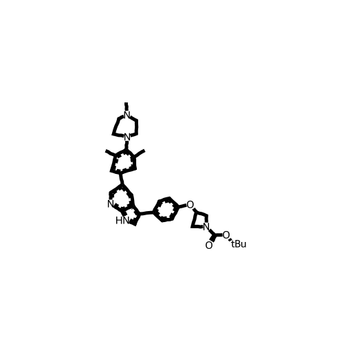 Cc1cc(-c2cnc3[nH]cc(-c4ccc(OC5CN(C(=O)OC(C)(C)C)C5)cc4)c3c2)cc(C)c1N1CCN(C)CC1